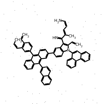 C=Cc1ccc(-c2c3ccccc3c(-c3ccc4ccccc4c3)c3cc(-c4ccc5c(c4)c(C(=N)/C(C)=C/C=C\N)c(C=C)n5-c4cc5ccccc5c5ccccc45)ccc23)cc1/C=C\C